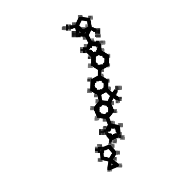 FC1(F)c2cc(-c3ccc4nc(C5N[C@@H]6CC[C@H]5C6)[nH]c4c3)ccc2-c2ccc(-c3cnc([C@@H]4CC5(CC5)CN4)[nH]3)cc21